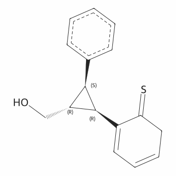 OC[C@H]1[C@H](C2=CC=CCC2=S)[C@@H]1c1ccccc1